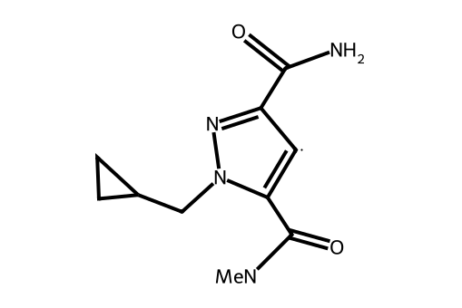 CNC(=O)c1[c]c(C(N)=O)nn1CC1CC1